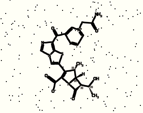 C[C@@H](O)[C@H]1C(=O)N2C(C(=O)[O-])=C(c3cn4cnc(C(=O)c5ccc[n+](CC(N)=O)c5)c4s3)[C@H](C)[C@H]12